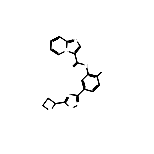 Cc1ccc(-c2noc(C3CCN3)n2)cc1NC(=O)c1cnc2ccccn12